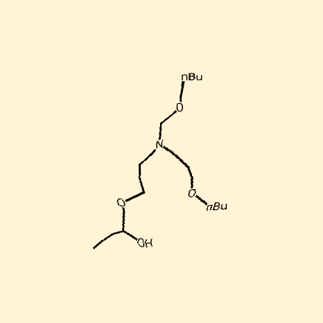 CCCCOCN(CCOC(C)O)COCCCC